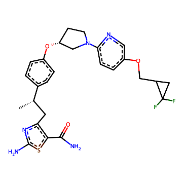 C[C@@H](Cc1nc(N)sc1C(N)=O)c1ccc(O[C@@H]2CCN(c3ccc(OCC4CC4(F)F)cn3)C2)cc1